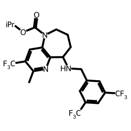 Cc1nc2c(cc1C(F)(F)F)N(C(=O)OC(C)C)CCCC2NCc1cc(C(F)(F)F)cc(C(F)(F)F)c1